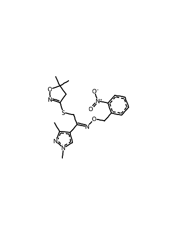 Cc1nn(C)cc1C(CSC1=NOC(C)(C)C1)=NOCc1ccccc1[N+](=O)[O-]